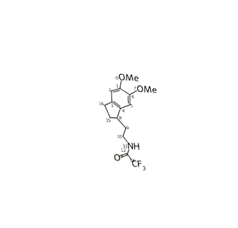 COc1cc2c(cc1OC)C(CCNC(=O)C(F)(F)F)CC2